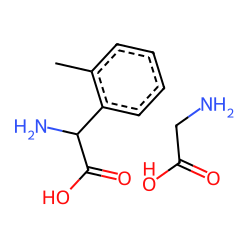 Cc1ccccc1C(N)C(=O)O.NCC(=O)O